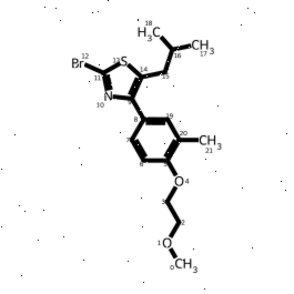 COCCOc1ccc(-c2nc(Br)sc2CC(C)C)cc1C